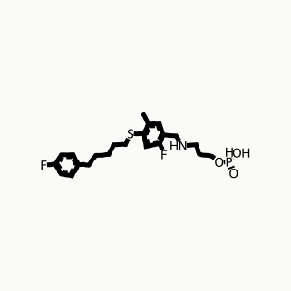 Cc1cc(CNCCCO[PH](=O)O)c(F)cc1SCCCCCc1ccc(F)cc1